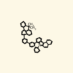 CC1(C)c2ccccc2-c2ccc(-c3cccc(-c4cccc(-c5cccc6c7c(n(-c8ccccc8)c56)C=CC5C=CC=CC75)c4)c3)c3cccc1c23